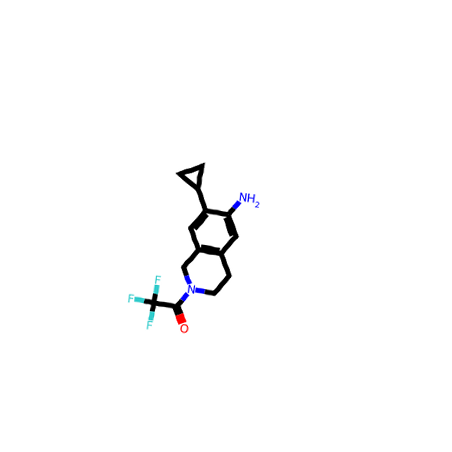 Nc1cc2c(cc1C1CC1)CN(C(=O)C(F)(F)F)CC2